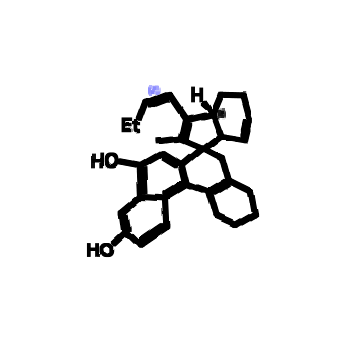 CC/C=C\C1=C(C)C2(CC3=C(CCCC3)c3c2cc(O)c2cc(O)ccc32)C2C=CCC[C@@H]12